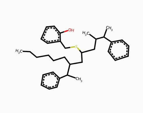 CCCCCCC(CC(CC(C)C(C)c1ccccc1)SCc1ccccc1O)C(C)c1ccccc1